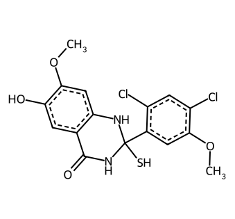 COc1cc2c(cc1O)C(=O)NC(S)(c1cc(OC)c(Cl)cc1Cl)N2